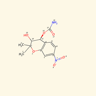 CC1(C)Oc2cc([N+](=O)[O-])ccc2[C@H](OC(N)=O)C1O